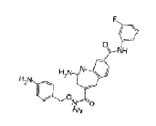 CCCN(OCc1ccc(N)cc1)C(=O)C1=Cc2ccc(C(=O)Nc3cccc(F)c3)cc2N=C(N)C1